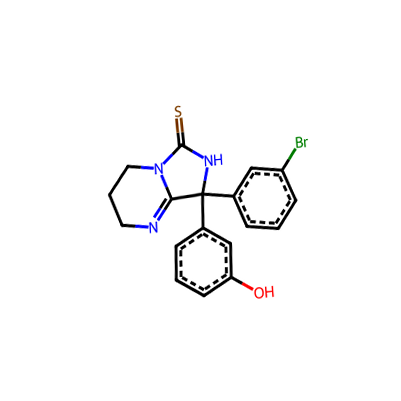 Oc1cccc(C2(c3cccc(Br)c3)NC(=S)N3CCCN=C32)c1